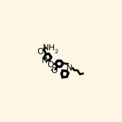 CCCCCN(Cc1ccc(Oc2ccc(C(N)=O)cn2)c(OC)c1)c1ccccc1